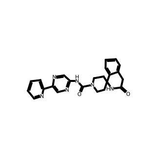 O=C1Cc2ccccc2C2(CCN(C(=O)Nc3cnc(-c4ccccn4)cn3)CC2)N1